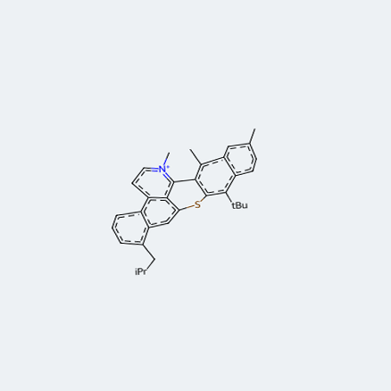 Cc1ccc2c(C(C)(C)C)c3c(c(C)c2c1)-c1c2c(cc4c(CC(C)C)cccc4c2cc[n+]1C)S3